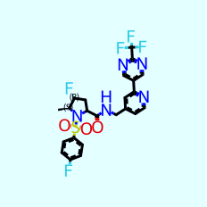 C[C@H]1[C@H](F)CC(C(=O)NCc2ccnc(-c3cnc(C(F)(F)F)nc3)c2)N1S(=O)(=O)c1ccc(F)cc1